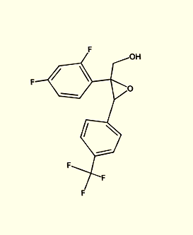 OCC1(c2ccc(F)cc2F)OC1c1ccc(C(F)(F)F)cc1